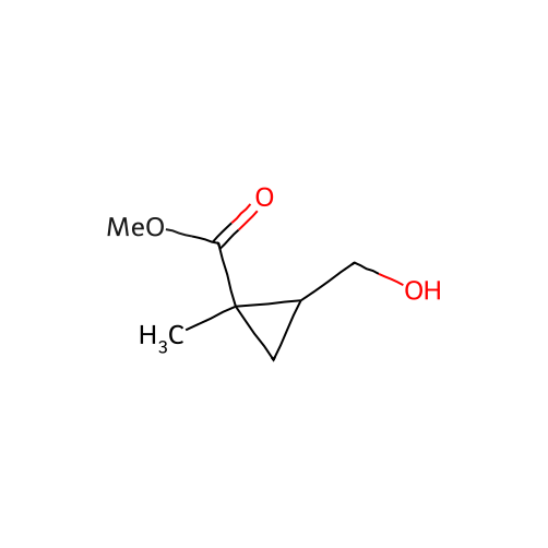 COC(=O)C1(C)CC1CO